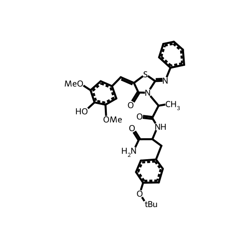 COc1cc(C=C2SC(=Nc3ccccc3)N(C(C)C(=O)NC(Cc3ccc(OC(C)(C)C)cc3)C(N)=O)C2=O)cc(OC)c1O